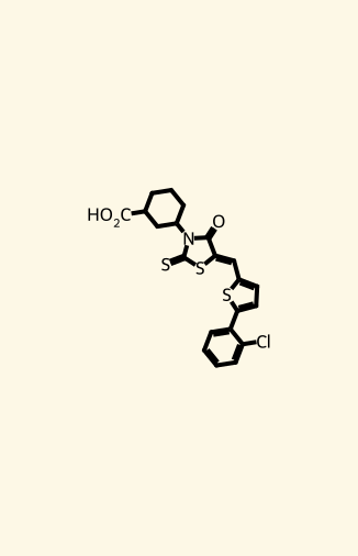 O=C(O)C1CCCC(N2C(=O)C(=Cc3ccc(-c4ccccc4Cl)s3)SC2=S)C1